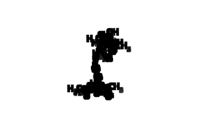 CCN(c1cc(-c2ccc(N3CCN(CCOCCOCC(=O)NC(C(=O)N4C[C@H](O)C[C@H]4C(=O)NC(C)c4ccc(-c5scnc5C)cc4)C(C)(C)C)CC3)cc2)cc(C(=O)NCc2c(C)cc(C)[nH]c2=O)c1C)C1CCOCC1